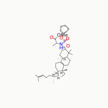 COC(=O)C(C)NP(=O)(Oc1ccccc1)O[C@H]1CC[C@]2(C)C3=C(CCC2C1(C)C)[C@]1(C)CC[C@H]([C@H](C)CCC=C(C)C)[C@@]1(C)CC3